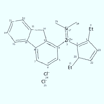 CCC1=[C]([Zr+2]([c]2cccc3c2Cc2ccccc2-3)=[Si](C)C)C(CC)C=C1.[Cl-].[Cl-]